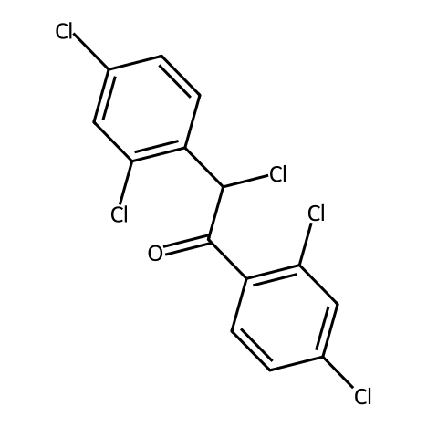 O=C(c1ccc(Cl)cc1Cl)C(Cl)c1ccc(Cl)cc1Cl